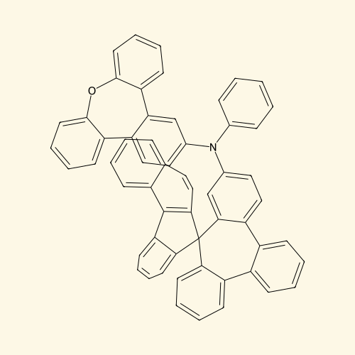 c1ccc(N(c2ccc3c(c2)-c2ccccc2Oc2ccccc2-3)c2ccc3c(c2)C2(c4ccccc4-c4ccccc4-3)c3ccccc3-c3c2ccc2ccccc32)cc1